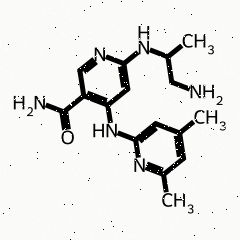 Cc1cc(C)nc(Nc2cc(NC(C)CN)ncc2C(N)=O)c1